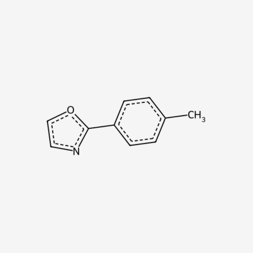 Cc1ccc(-c2ncco2)cc1